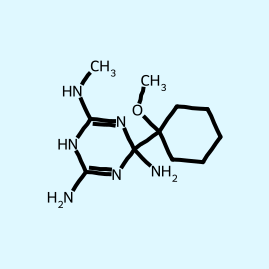 CNC1=NC(N)(C2(OC)CCCCC2)N=C(N)N1